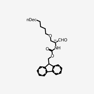 CCCCCCCCCCCCCCOC[C@@H](C=O)NC(=O)OCC1c2ccccc2-c2ccccc21